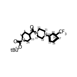 CC(C)(C)OC(=O)N1CCC(C(=O)N2CCN(c3cccc(C(F)(F)F)c3)CC2)CC1